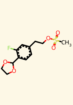 CS(=O)(=O)OCCc1ccc(C2OCCO2)c(F)c1